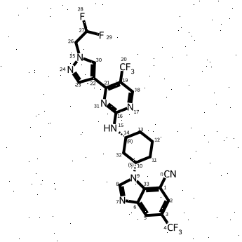 N#Cc1cc(C(F)(F)F)cc2ncn([C@H]3CCC[C@@H](Nc4ncc(C(F)(F)F)c(-c5cnn(CC(F)F)c5)n4)C3)c12